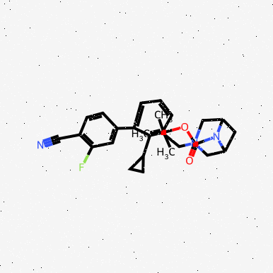 CC(C)(C)OC(=O)N1C2CC1CN(Cc1cccc(-c3ccc(C#N)c(F)c3)c1C1CC1)C2